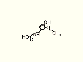 CCCOc1cc(CCNCC(=O)O)ccc1O